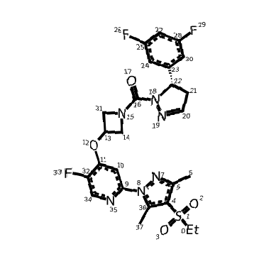 CCS(=O)(=O)c1c(C)nn(-c2cc(OC3CN(C(=O)N4N=CC[C@H]4c4cc(F)cc(F)c4)C3)c(F)cn2)c1C